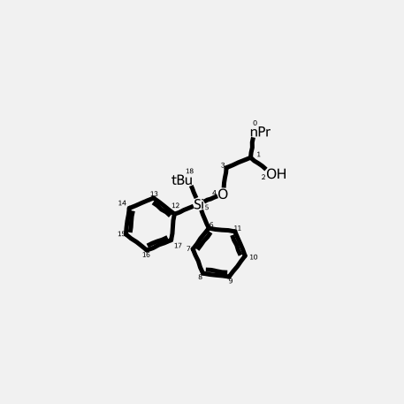 CCCC(O)CO[Si](c1ccccc1)(c1ccccc1)C(C)(C)C